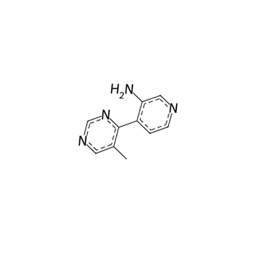 Cc1cncnc1-c1ccncc1N